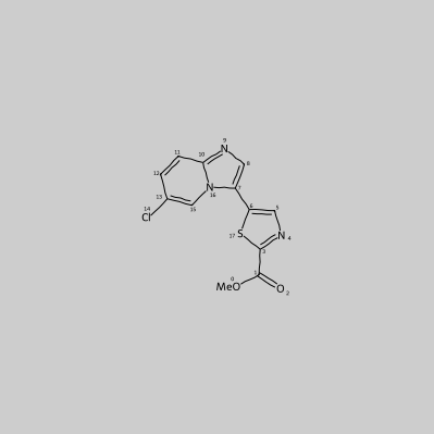 COC(=O)c1ncc(-c2cnc3ccc(Cl)cn23)s1